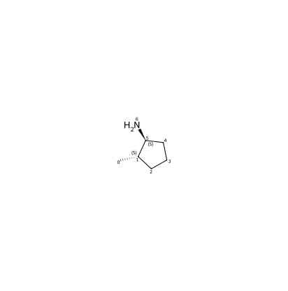 C[C@H]1CCC[C@@H]1N